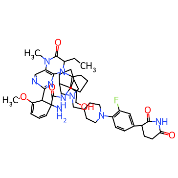 CCC1C(=O)N(C)c2cnc(C3C(OC)=CC=CC3(N)C(=O)NC3(CCO)C4CCC3CN(CC3CCN(c5ccc(C6CCC(=O)NC6=O)cc5F)CC3)C4)nc2N1C1CCCC1